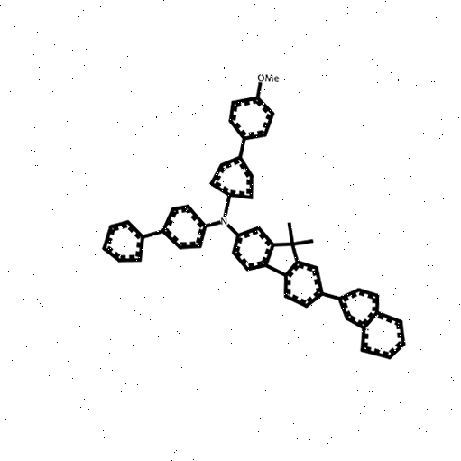 COc1ccc(-c2ccc(N(c3ccc(-c4ccccc4)cc3)c3ccc4c(c3)C(C)(C)c3cc(-c5ccc6ccccc6c5)ccc3-4)cc2)cc1